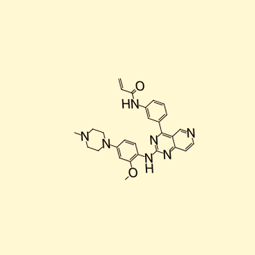 C=CC(=O)Nc1cccc(-c2nc(Nc3ccc(N4CCN(C)CC4)cc3OC)nc3ccncc23)c1